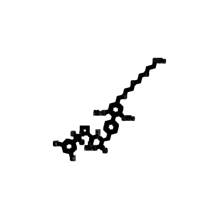 COCCOCCOCCOCc1cc(OC)c(-c2ccc(C[C@H](NC(=O)[C@@H]3CCN3S(=O)(=O)c3cc(Cl)cc(Cl)c3)C(=O)OC)cc2)c(OC)c1